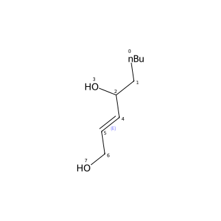 CCCCCC(O)/C=C/CO